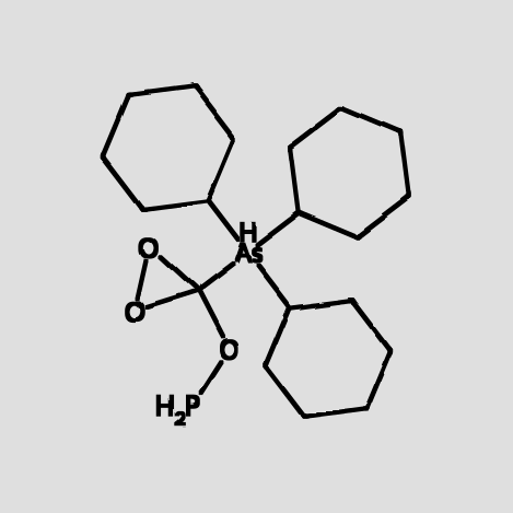 POC1([AsH](C2CCCCC2)(C2CCCCC2)C2CCCCC2)OO1